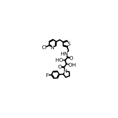 O=C(NCc1cc(Cc2ccc(Cl)nc2)cs1)[C@H](O)[C@@H](O)C(=O)N1CCCC1c1ccc(F)cc1